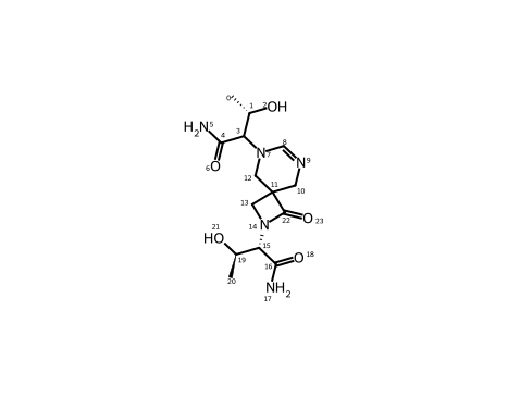 C[C@H](O)C(C(N)=O)N1C=NCC2(C1)CN([C@H](C(N)=O)[C@@H](C)O)C2=O